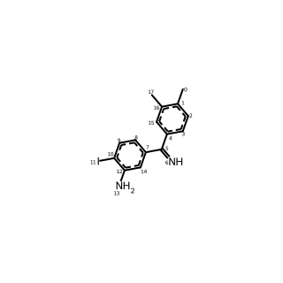 Cc1ccc(C(=N)c2ccc(I)c(N)c2)cc1C